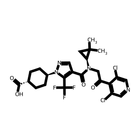 CC1(C)C[C@@H]1N(CC(=O)c1c(Cl)cncc1Cl)C(=O)c1cnn([C@H]2CC[C@H](C(=O)O)CC2)c1C(F)(F)F